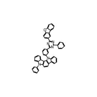 c1ccc(-c2nc(-c3cccc(-n4c5ccccc5c5ccc6c(c7ccccc7n6-c6ccccc6)c54)c3)nc(-c3ccc4oc5ccccc5c4c3)n2)cc1